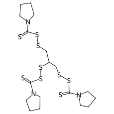 S=C(SSCC(CSSC(=S)N1CCCC1)SSC(=S)N1CCCC1)N1CCCC1